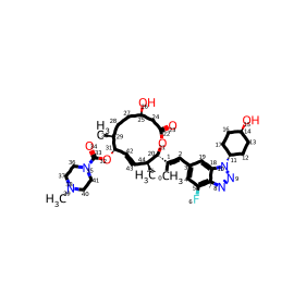 C/C(=C\c1cc(F)c2nnn([C@H]3CC[C@H](O)CC3)c2c1)[C@H]1OC(=O)C[C@H](O)CC[C@H](C)[C@@H](OC(=O)N2CCN(C)CC2)/C=C/[C@@H]1C